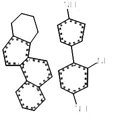 Nc1ccc(-c2ccc(N)cc2N)cc1.c1ccc2c(c1)ccc1c3c(ccc12)CCCC3